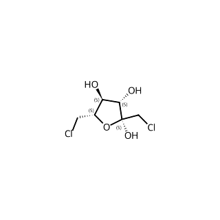 O[C@@H]1[C@@H](CCl)O[C@](O)(CCl)[C@H]1O